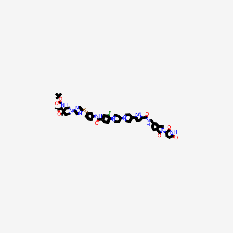 C[C@@H]1OCC2(CCN(c3cnc(Sc4cccc(NC(=O)c5ccc(N6CCC(N7CC=C(c8ccc(C(=O)NCC9=CCC%10C(=O)N(C%11CCC(=O)NC%11=O)CC%10=C9)nn8)CC7)CC6)c(F)c5)c4)cn3)CC2)[C@@H]1NC(=O)OC(C)(C)C